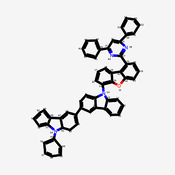 C1=C(c2ccc3c(c2)c2ccccc2n3-c2cccc3c2oc2cccc(-c4nc(-c5ccccc5)cc(-c5ccccc5)n4)c23)C=C2c3ccccc3N(c3ccccc3)C2C1